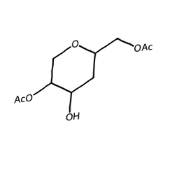 CC(=O)OCC1CC(O)C(OC(C)=O)CO1